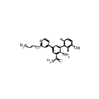 Cc1ccc(O)c(C)c1-c1cc(-c2ccnc(OCCN)c2)cc(C(N)=O)c1N